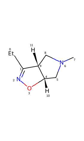 CCC1=NO[C@H]2CN(C)C[C@@H]12